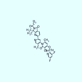 [2H]C([2H])(Oc1cc(C)n(-c2cc(-c3ccc4c(n3)C(C)(C)N(C(C)=O)C4=O)ncc2C)c(=O)c1Cl)c1ncc(F)cc1F